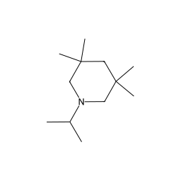 CC(C)N1CC(C)(C)CC(C)(C)C1